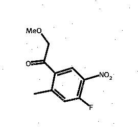 COCC(=O)c1cc([N+](=O)[O-])c(F)cc1C